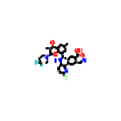 Cc1cc(C(C)Nc2ccc(Cl)nc2-c2ccc3c(c2)C=NOB3O)c2oc(N3CCC(F)(F)CC3)c(C)c(=O)c2c1